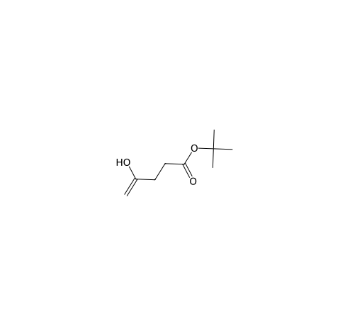 C=C(O)CCC(=O)OC(C)(C)C